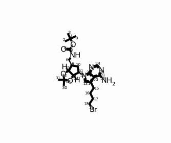 CC(C)(C)OC(=O)NC[C@H]1C[C@@H](n2cc(CCCCBr)c3c(N)ncnc32)[C@@H]2OC(C)(C)O[C@H]12